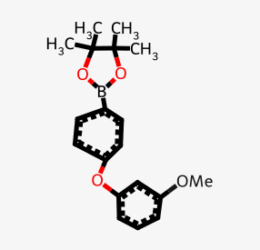 COc1cccc(Oc2ccc(B3OC(C)(C)C(C)(C)O3)cc2)c1